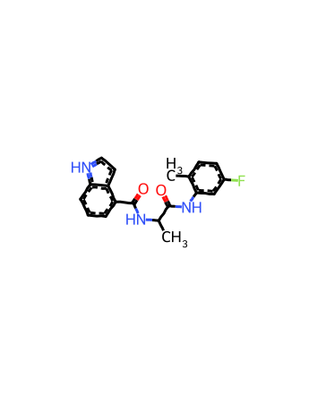 Cc1ccc(F)cc1NC(=O)C(C)NC(=O)c1cccc2[nH]ccc12